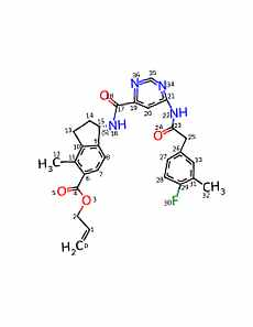 C=CCOC(=O)c1ccc2c(c1C)CC[C@@H]2NC(=O)c1cc(NC(=O)Cc2ccc(F)c(C)c2)ncn1